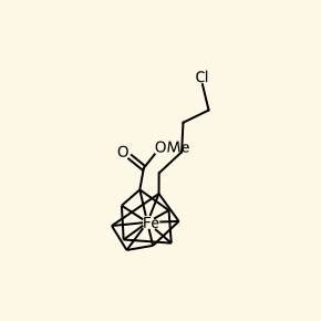 COC(=O)[C]12[CH]3[CH]4[CH]5[CH]1[Fe]45321678[CH]2[CH]1[CH]6[C]7(CCCCCl)[CH]28